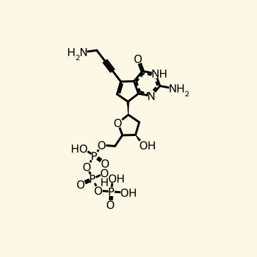 NCC#CC1=CC([C@H]2C[C@@H](O)C(COP(=O)(O)OP(=O)(O)OP(=O)(O)O)O2)c2nc(N)[nH]c(=O)c21